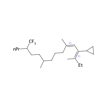 CCCC(CCC(C)CCC/C(C)=C\C(=C(/C)CC)C1CC1)C(F)(F)F